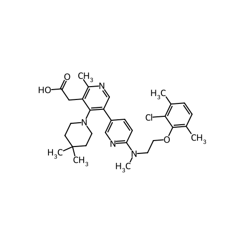 Cc1ccc(C)c(OCCN(C)c2ccc(-c3cnc(C)c(CC(=O)O)c3N3CCC(C)(C)CC3)cn2)c1Cl